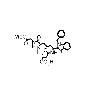 COC(=O)CNC(=O)C(N)CCCC(NC(=O)CCC(=O)O)c1nc2ccccc2n1Cc1ccccc1